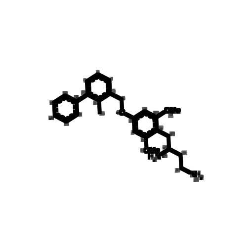 COc1cc(OCc2cccc(-c3ccccc3)c2C)cc(OC)c1CC(N)CCN